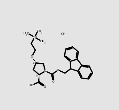 C[N+](C)(C)CCO[C@H]1C[C@H](C(=O)O)N(C(=O)OCC2c3ccccc3-c3ccccc32)C1.[Cl-]